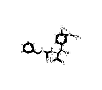 COc1cc([C@@H](O)[C@H](NC(=O)OCc2ccccc2)C(=O)O)ccc1C